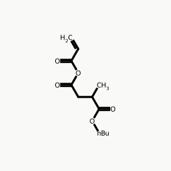 C=CC(=O)OC(=O)CC(C)C(=O)OCCCC